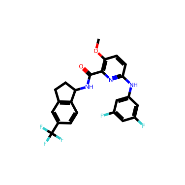 COc1ccc(Nc2cc(F)cc(F)c2)nc1C(=O)NC1CCc2cc(C(F)(F)F)ccc21